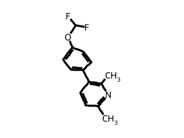 Cc1ccc(-c2ccc(OC(F)F)cc2)c(C)n1